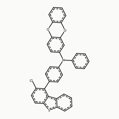 Clc1ccc2sc3ccccc3c2c1-c1ccc(N(c2ccccc2)c2ccc3c(c2)Oc2ccccc2O3)cc1